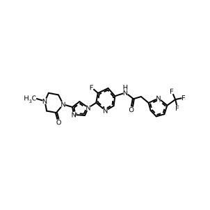 CN1CCN(c2cn(-c3ncc(NC(=O)Cc4cccc(C(F)(F)F)n4)cc3F)cn2)C(=O)C1